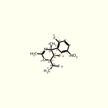 CC1=N[C@](C)(c2cc([N+](=O)[O-])ccc2F)[C@@H](F)[C@@H]([C@H](C)F)O1